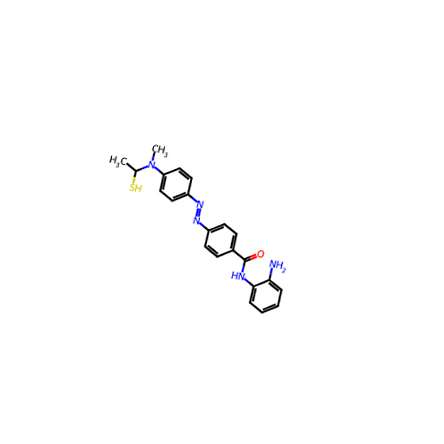 CC(S)N(C)c1ccc(/N=N/c2ccc(C(=O)Nc3ccccc3N)cc2)cc1